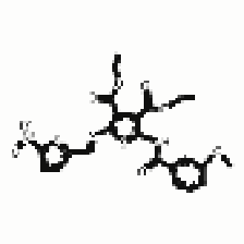 CCOC(=O)c1c(N=Cc2ccc([N+](=O)[O-])s2)sc(NC(=O)c2cccc(OC)c2)c1C(=O)OCC